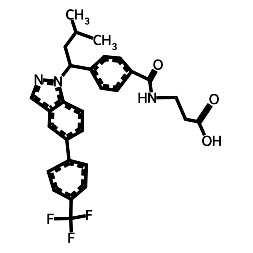 CC(C)CC(c1ccc(C(=O)NCCC(=O)O)cc1)n1ncc2cc(-c3ccc(C(F)(F)F)cc3)ccc21